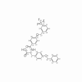 O=C(NC(Cc1ccc(OCc2ccccc2)cc1)C(=O)O)c1ccc(OCc2cccc(C(F)(F)F)c2)cc1